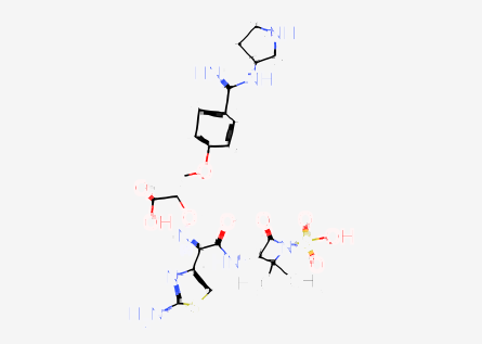 CC1(C)[C@H](NC(=O)/C(=N\O[C@@H](COc2ccc(C(=N)N[C@H]3CCNC3)cc2)C(=O)O)c2csc(N)n2)C(=O)N1S(=O)(=O)O